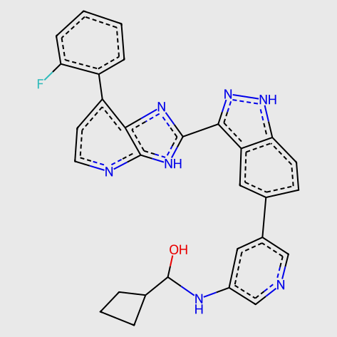 OC(Nc1cncc(-c2ccc3[nH]nc(-c4nc5c(-c6ccccc6F)ccnc5[nH]4)c3c2)c1)C1CCC1